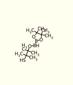 CC(C)(S)C(C)(C)OBB1OC(C)(C)C(C)(C)O1